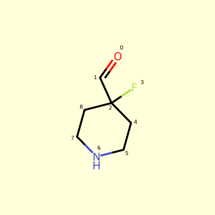 O=CC1(F)CCNCC1